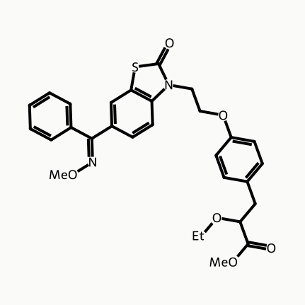 CCOC(Cc1ccc(OCCn2c(=O)sc3cc(/C(=N/OC)c4ccccc4)ccc32)cc1)C(=O)OC